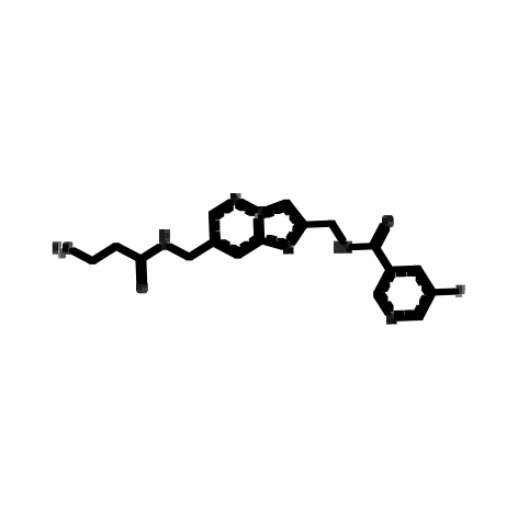 O=C(CCC(F)(F)F)NCc1cnn2cc(CNC(=O)c3cncc(F)c3)nc2c1